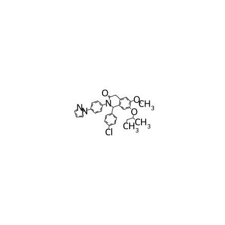 CCC(C)Oc1cc2c(cc1OC)CC(=O)N(c1ccc(-n3cccn3)cc1)C2c1ccc(Cl)cc1